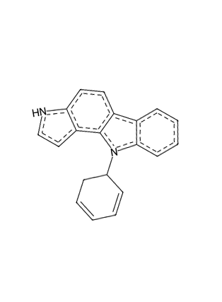 C1=CCC(n2c3ccccc3c3ccc4[nH]ccc4c32)C=C1